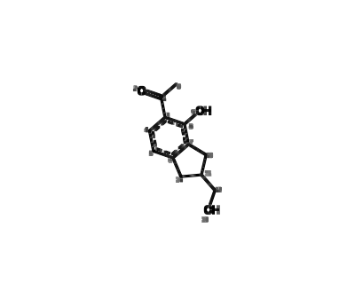 CC(=O)c1ccc2c(c1O)CC(CO)C2